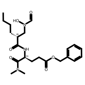 CCCC[C@H](CN(O)C=O)C(=O)N[C@@H](CCC(=O)OCc1ccccc1)C(=O)N(C)C